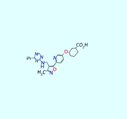 Cc1noc(-c2ccc(O[C@H]3CCC[C@H](C(=O)O)C3)cn2)c1CNc1ncnc(C(C)C)n1